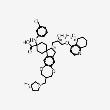 C[C@@H](COc1ccnc2c1[C@H](C)CCC2)C[C@H]1Cc2cc3c(cc2C12CCC(Nc1cccc(Cl)c1)(C(=O)O)CC2)OCC(CN1CC[C@H](F)C1)CO3